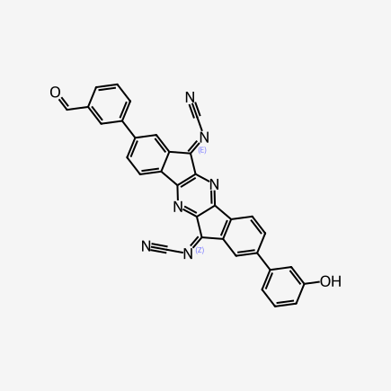 N#C/N=c1/c2cc(-c3cccc(O)c3)ccc2c2nc3/c(=N/C#N)c4cc(-c5cccc(C=O)c5)ccc4c3nc12